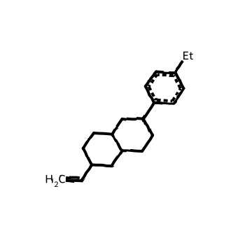 C=CC1CCC2CC(c3ccc(CC)cc3)CCC2C1